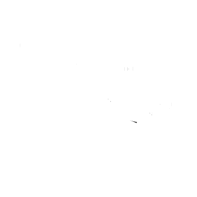 CCOC(=O)N(c1ccccc1)[C@H]1CCN(CCCC(=O)c2ccc(F)cc2)C2CCCC[C@H]21.Cl